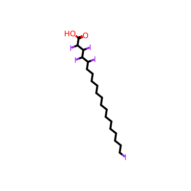 O=C(O)C(I)C(I)C(I)C(I)CCCCCCCCCCCCCCCI